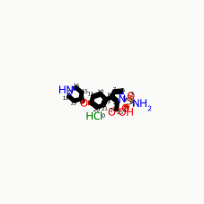 Cl.NS(=O)(=O)n1ccc(-c2ccc(OC3CCNCC3)cc2)c1C(=O)O